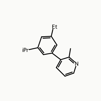 CCc1cc(-c2cccnc2C)cc(C(C)C)c1